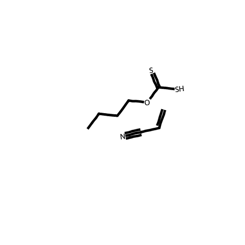 C=CC#N.CCCCOC(=S)S